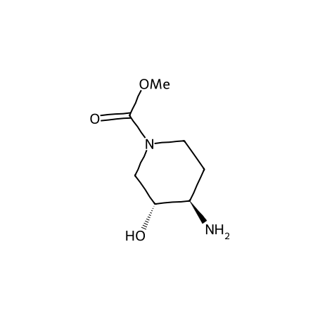 COC(=O)N1CC[C@@H](N)[C@H](O)C1